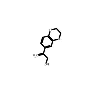 C=C(CO)c1ccc2c(c1)OCCO2